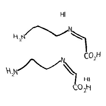 I.I.NCC/N=C\C(=O)O.NCC/N=C\C(=O)O